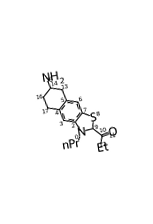 CCCN1c2cc3c(cc2SC1C(=O)CC)CC(N)CC3